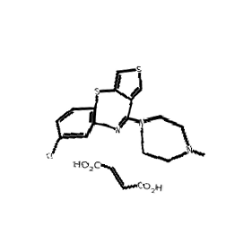 CN1CCN(C2=Nc3cc(Cl)ccc3Sc3cscc32)CC1.O=C(O)/C=C/C(=O)O